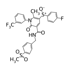 Cc1c([S+]([O-])c2ccc(F)cc2)cc(C(=O)NCc2ccc(S(C)(=O)=O)cc2)c(=O)n1-c1cccc(C(F)(F)F)c1